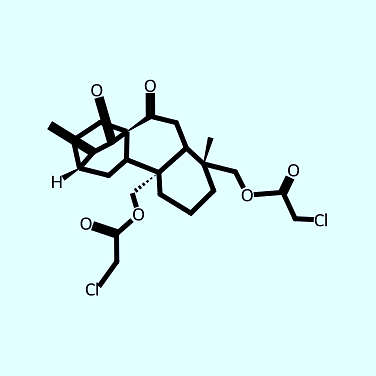 C=C1C(=O)[C@]23CC[C@H]1CC2[C@]1(COC(=O)CCl)CCC[C@@](C)(COC(=O)CCl)C1CC3=O